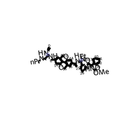 C#C/N=C(/CNCCC)NCc1cc2c3c(c1)OCc1cc(C(=C)N/C(=N\CC)C4CCCN4C(=O)[C@H](NC(=O)OC)c4ccccc4)cc(c1-3)OC2